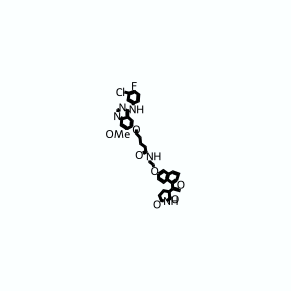 COc1cc2ncnc(Nc3ccc(F)c(Cl)c3)c2cc1OCCCCC(=O)NCCOc1ccc2c(ccc3occ(C4CCC(=O)NC4=O)c32)c1